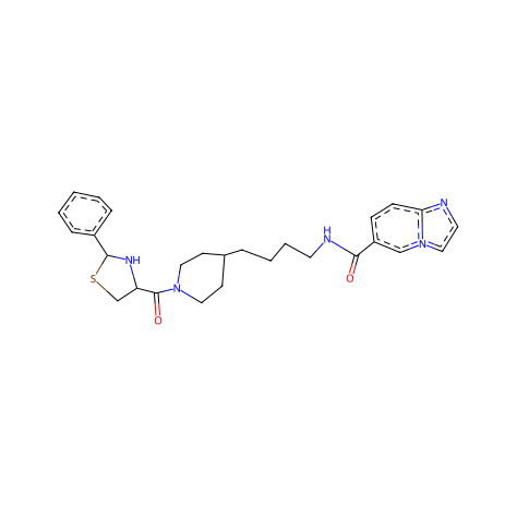 O=C(NCCCCC1CCN(C(=O)C2CSC(c3ccccc3)N2)CC1)c1ccc2nccn2c1